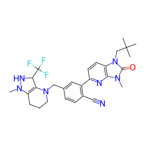 CN1NC(C(F)(F)F)C2=C1CCCN2Cc1ccc(C#N)c(-c2ccc3c(n2)n(C)c(=O)n3CC(C)(C)C)c1